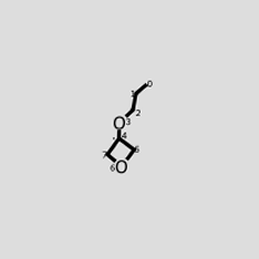 CCCO[C]1COC1